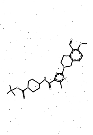 COc1ccc2c(c1C=O)CCN(c1nc(C)c(C(=O)NC3CCN(C(=O)OC(C)(C)C)CC3)s1)C2